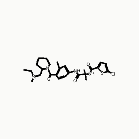 CCN(C)CC1CCCCN1C(=O)c1ccc(NC(=O)C(C)(C)NC(=O)c2ccc(Cl)s2)cc1C